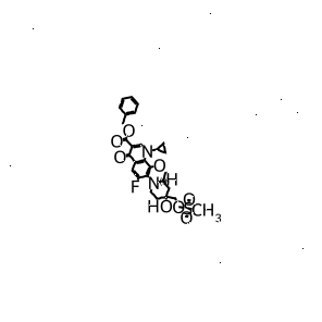 CS(=O)(=O)OCC1(O)CCN2c3c(F)cc4c(=O)c(C(=O)OCc5ccccc5)cn(C5CC5)c4c3OC[C@@H]2C1